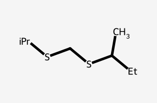 CCC(C)SCSC(C)C